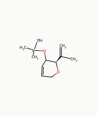 C=C(C)[C@H]1OCC=CC1O[Si](C)(C)C(C)(C)C